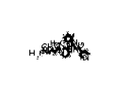 Cc1cccc2nc(NC(=O)c3ccncc3)n(C3CCCCN(C(=O)C=CCN(C)C)C3)c12